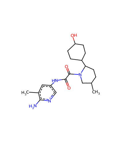 Cc1cc(NC(=O)C(=O)N2CC(C)CCC2C2CCC(O)CC2)cnc1N